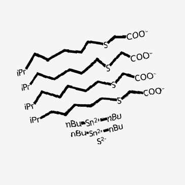 CC(C)CCCCCSCC(=O)[O-].CC(C)CCCCCSCC(=O)[O-].CC(C)CCCCCSCC(=O)[O-].CC(C)CCCCCSCC(=O)[O-].CCC[CH2][Sn+2][CH2]CCC.CCC[CH2][Sn+2][CH2]CCC.[S-2]